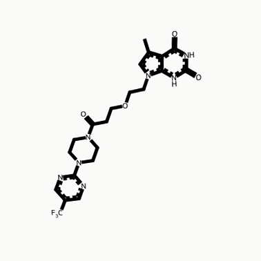 Cc1cn(CCOCCC(=O)N2CCN(c3ncc(C(F)(F)F)cn3)CC2)c2[nH]c(=O)[nH]c(=O)c12